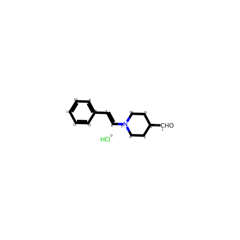 Cl.O=CC1CCN(C=Cc2ccccc2)CC1